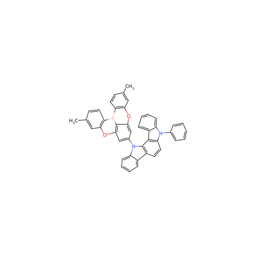 Cc1ccc2c(c1)Oc1cc(-n3c4ccccc4c4ccc5c(c6ccccc6n5-c5ccccc5)c43)cc3c1B2c1ccc(C)cc1O3